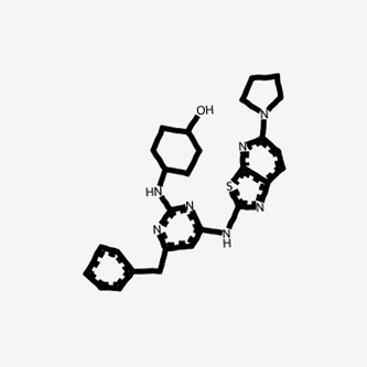 OC1CCC(Nc2nc(Cc3ccccc3)cc(Nc3nc4ccc(N5CCCC5)nc4s3)n2)CC1